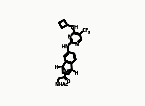 CC(=O)NCC(=O)N1[C@@H]2CC[C@H]1c1ccc(Nc3ncc(C(F)(F)F)c(NC4CCC4)n3)cc12